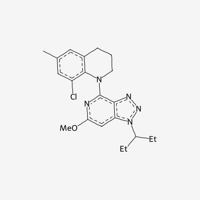 CCC(CC)n1nnc2c(N3CCCc4cc(C)cc(Cl)c43)nc(OC)cc21